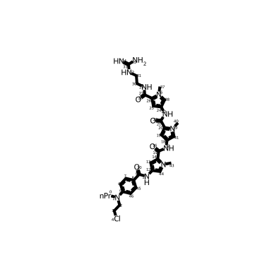 CCCN(CCCl)c1ccc(C(=O)Nc2cc(C(=O)Nc3cc(C(=O)Nc4cc(C(=O)NCCNC(=N)N)n(C)c4)n(C)c3)n(C)c2)cc1